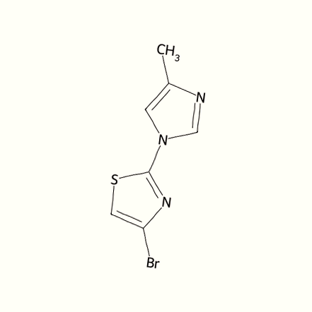 Cc1cn(-c2nc(Br)cs2)cn1